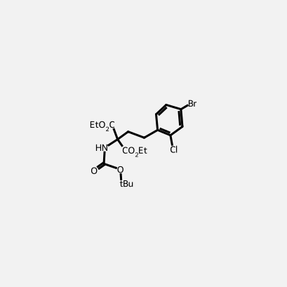 CCOC(=O)C(CCc1ccc(Br)cc1Cl)(NC(=O)OC(C)(C)C)C(=O)OCC